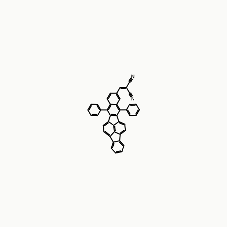 N#CC(C#N)=Cc1ccc2c(-c3ccccc3)c3c(c(-c4ccccc4)c2c1)-c1ccc2c4c(ccc-3c14)-c1ccccc1-2